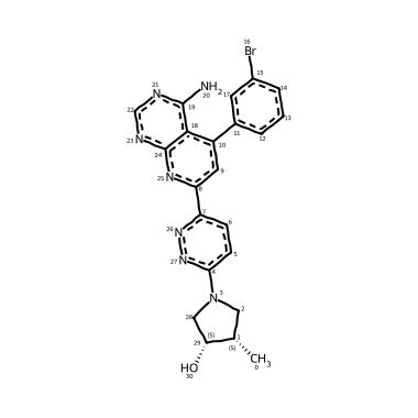 C[C@H]1CN(c2ccc(-c3cc(-c4cccc(Br)c4)c4c(N)ncnc4n3)nn2)C[C@H]1O